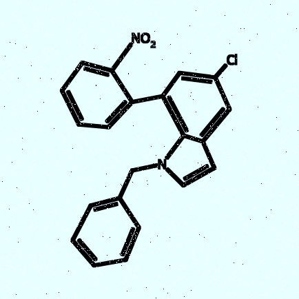 O=[N+]([O-])c1ccccc1-c1cc(Cl)cc2ccn(Cc3ccccc3)c12